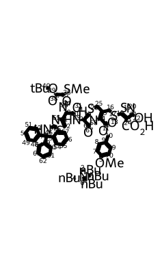 CCCC[N+](CCCC)(CCCC)CCCC.COc1ccc(COC(=O)C2=C(CSc3snc(O)c3C(=O)O)CS[C@H]3[C@H](NC(=O)/C(=N\O[C@H](SC)C(=O)OC(C)(C)C)c4csc(NC(c5ccccc5)(c5ccccc5)c5ccccc5)n4)C(=O)N23)cc1